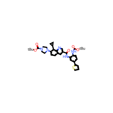 CC(C)(C)OC(=O)Nc1ccc(-c2cccs2)cc1NC(=O)c1cnc2c(C3CC3)c(N3CCN(C(=O)OC(C)(C)C)CC3)ccc2c1